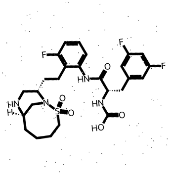 O=C(O)N[C@@H](Cc1cc(F)cc(F)c1)C(=O)Nc1cccc(F)c1CC[C@H]1CN[C@@H]2CCCCS(=O)(=O)N1C2